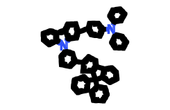 c1ccc(N(c2ccccc2)c2ccc(-c3ccc4c5ccccc5n(-c5cccc(-c6ccc7c(c6)C(c6ccccc6)(c6ccccc6)c6ccccc6-7)c5)c4c3)cc2)cc1